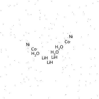 O.O.O.[Co].[Co].[LiH].[LiH].[LiH].[Ni].[Ni]